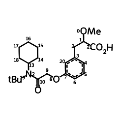 COC(Cc1cccc(OCC(=O)N(C2CCCCC2)C(C)(C)C)c1)C(=O)O